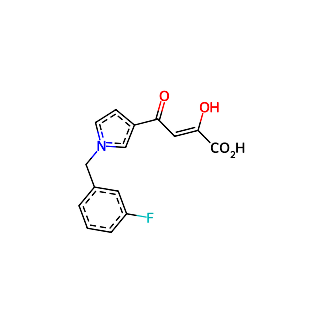 O=C(O)C(O)=CC(=O)c1ccn(Cc2cccc(F)c2)c1